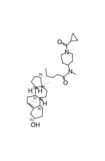 CC(CCC(=O)N(C)C1CCN(C(=O)C2CC2)CC1)[C@H]1CC[C@H]2[C@@H]3CC=C4C[C@@H](O)CC[C@]4(C)[C@H]3CC[C@]12C